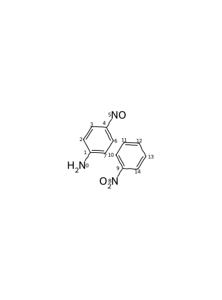 Nc1ccc(N=O)cc1.O=[N+]([O-])c1ccccc1